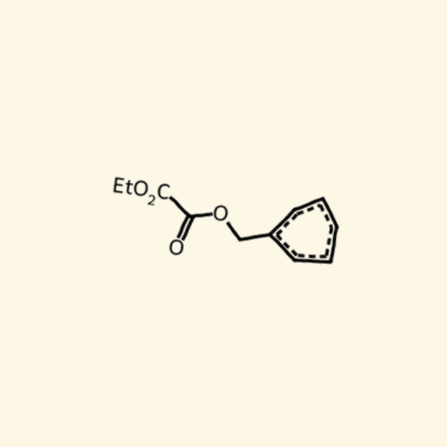 CCOC(=O)C(=O)OCc1ccccc1